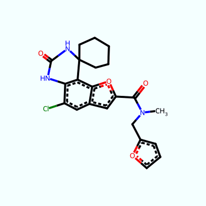 CN(Cc1ccco1)C(=O)c1cc2cc(Cl)c3c(c2o1)C1(CCCCC1)NC(=O)N3